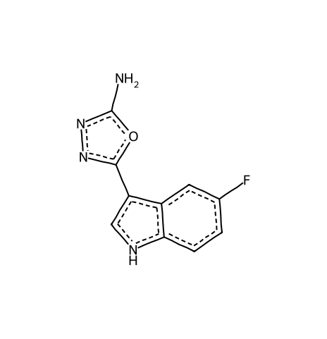 Nc1nnc(-c2c[nH]c3ccc(F)cc23)o1